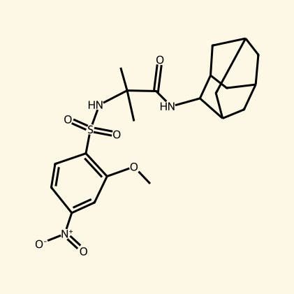 COc1cc([N+](=O)[O-])ccc1S(=O)(=O)NC(C)(C)C(=O)NC1C2CC3CC(C2)CC1C3